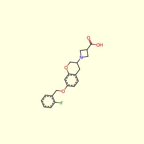 O=C(O)C1CN(C2COc3cc(OCc4ccccc4F)ccc3C2)C1